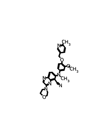 COc1cc(N(C)c2ccc3ncc(N4CCOCC4)nc3c2C#N)ccc1OCc1ccc(C)nc1